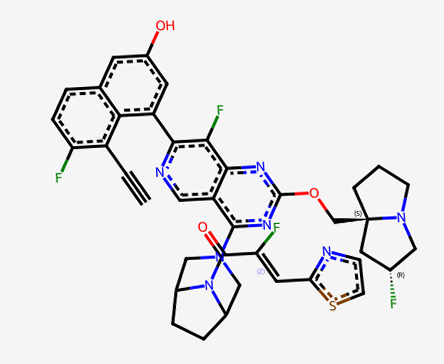 C#Cc1c(F)ccc2cc(O)cc(-c3ncc4c(N5CC6CCC(C5)N6C(=O)/C(F)=C/c5nccs5)nc(OC[C@@]56CCCN5C[C@H](F)C6)nc4c3F)c12